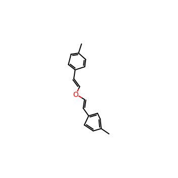 Cc1ccc(C=COC=Cc2ccc(C)cc2)cc1